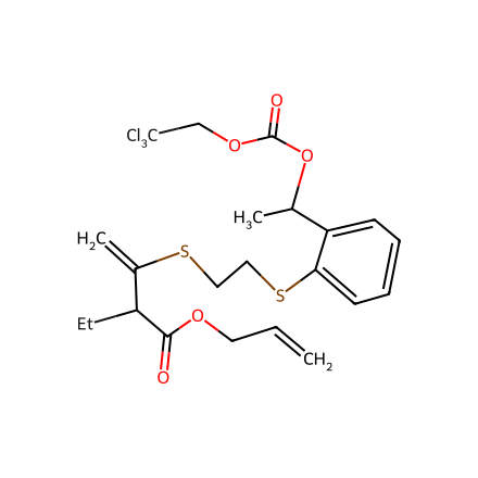 C=CCOC(=O)C(CC)C(=C)SCCSc1ccccc1C(C)OC(=O)OCC(Cl)(Cl)Cl